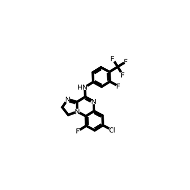 Fc1cc(NC2=Nc3cc(Cl)cc(F)c3N3CCN=C23)ccc1C(F)(F)F